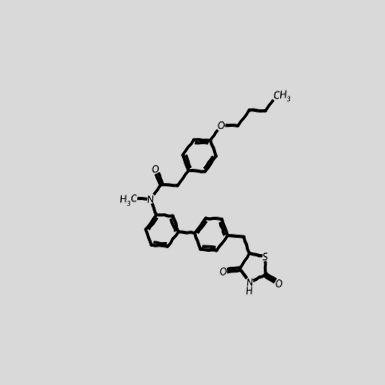 CCCCOc1ccc(CC(=O)N(C)c2cccc(-c3ccc(CC4SC(=O)NC4=O)cc3)c2)cc1